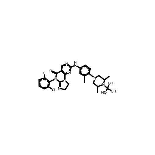 Cc1cc(Nc2ncc3c(n2)N2CCN=C2N(c2c(Cl)cccc2Cl)C3=O)ccc1N1CC(C)N(C(O)(O)O)C(C)C1